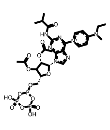 CCN(C)c1cc[n+](-c2nc(NC(=O)C(C)C)nc3c2ncn3[C@@H]2O[C@H](COP3OP(=O)(O)OP(=O)(O)O3)C(OC(C)=O)[C@@H]2OC(C)=O)cc1